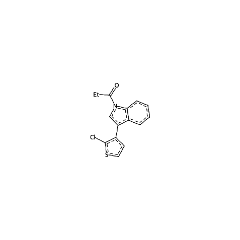 CCC(=O)n1cc(-c2ccsc2Cl)c2ccccc21